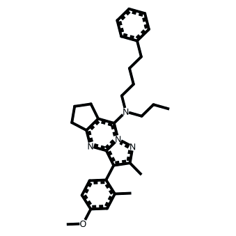 CCCN(CCCCc1ccccc1)c1c2c(nc3c(-c4ccc(OC)cc4C)c(C)nn13)CCC2